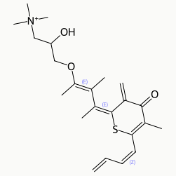 C=C/C=C\c1s/c(=C(C)/C(C)=C(\C)OCC(O)C[N+](C)(C)C)c(=C)c(=O)c1C